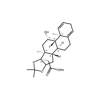 COC(=O)C[C@@]12OC(C)(C)OC1C[C@H]1[C@@H]3CCC4=CCC=C[C@]4(C)[C@@]3(F)[C@@H](O)C[C@@]12C